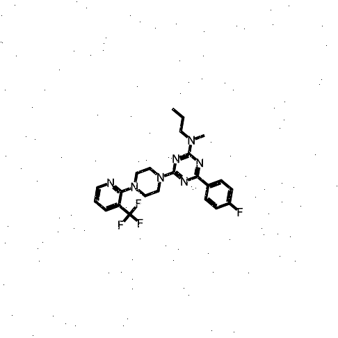 CCCN(C)c1nc(-c2ccc(F)cc2)nc(N2CCN(c3ncccc3C(F)(F)F)CC2)n1